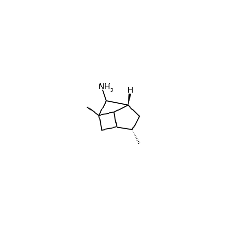 C[C@H]1C[C@H]2C(N)C3(C)CC1C23